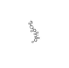 C[C@H](NC(=O)c1ccc(N2CCCN(C(=O)OC(C)(C)C)CC2)c(Cl)c1)c1nc2cc(Cl)ccc2[nH]1